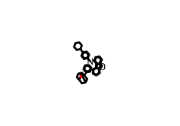 c1ccc2c(c1)oc1cccc(N(c3ccc(C4CCCCC4)cc3)c3ccc(C45CC6CC(CC(C6)C4)C5)cc3)c12